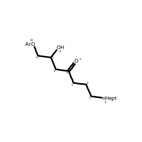 CCCCCCCCCCC(=O)CC(O)COC(C)=O